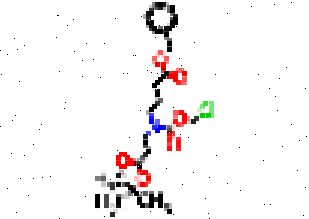 CC(C)(C)OC(=O)CCN(CCCC(=O)OCc1ccccc1)C(=O)OCCl